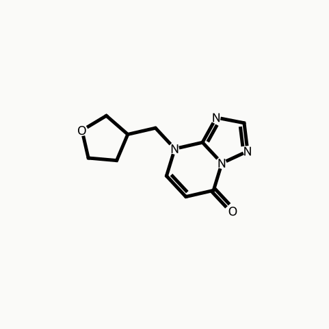 O=c1ccn(CC2CCOC2)c2ncnn12